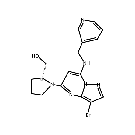 OC[C@H]1CCCN1c1cc(NCc2cccnc2)n2ncc(Br)c2n1